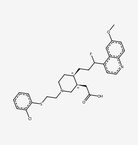 COc1ccc2nccc(C(F)CC[C@@H]3CCN(CCSc4ccccc4Cl)C[C@@H]3CC(=O)O)c2c1